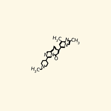 CCN1CCC(C2=CN3C(=O)\C=C(c4cc(C)c5nc(C)cn5c4)/C=C/C=C/3C=N2)CC1